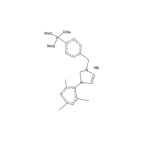 Br.CO[Si](OC)(OC)c1ccc(CN2C=CN(c3c(C)cc(C)cc3C)C2)cc1